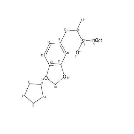 C1CCCC1.CCCCCCCC[S+]([O-])C(C)Cc1ccc2c(c1)OCO2